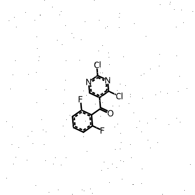 O=C(c1cnc(Cl)nc1Cl)c1c(F)cccc1F